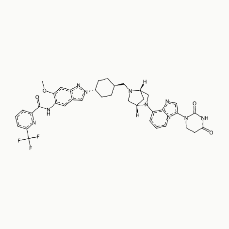 COc1cc2nn([C@H]3CC[C@H](CN4C[C@@H]5C[C@H]4CN5c4cccn5c(N6CCC(=O)NC6=O)cnc45)CC3)cc2cc1NC(=O)c1cccc(C(F)(F)F)n1